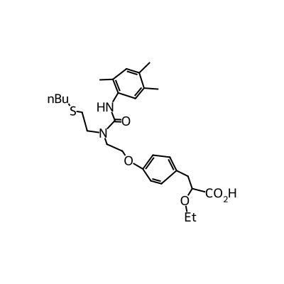 CCCCSCCN(CCOc1ccc(CC(OCC)C(=O)O)cc1)C(=O)Nc1cc(C)c(C)cc1C